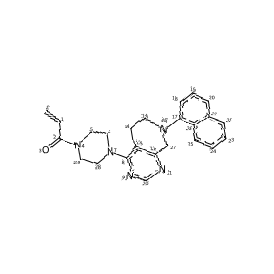 C=CC(=O)N1CCN(c2ncnc3c2CCN(c2cccc4ccccc24)C3)CC1